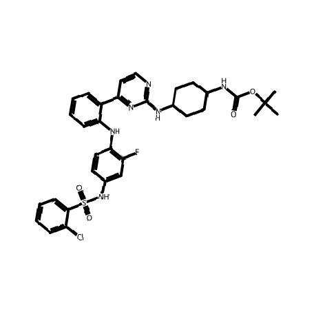 CC(C)(C)OC(=O)NC1CCC(Nc2nccc(-c3ccccc3Nc3ccc(NS(=O)(=O)c4ccccc4Cl)cc3F)n2)CC1